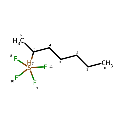 CCCCCC(C)[SH](F)(F)(F)F